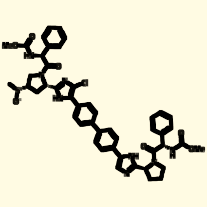 COC(=O)N[C@H](C(=O)N1CCC[C@H]1c1ncc(-c2ccc(-c3ccc(-c4[nH]c([C@@H]5C[C@H]([S+](C)[O-])CN5C(=O)[C@@H](NC(=O)OC)c5ccccc5)nc4Cl)cc3)cc2)[nH]1)c1ccccc1